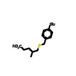 CC(CCC(=O)O)CSCc1ccc(C(C)(C)C)cc1